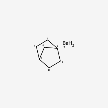 C1CC2CCC1C2.[BaH2]